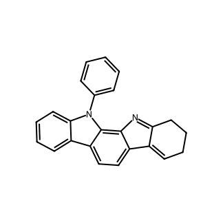 C1=C2C(=Nc3c2ccc2c4ccccc4n(-c4ccccc4)c32)CCC1